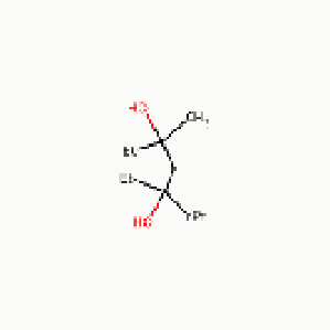 CCCC(O)(CC)CC(C)(O)CC